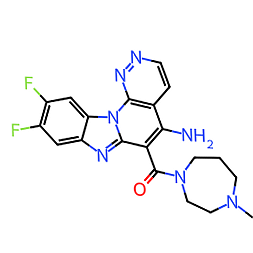 CN1CCCN(C(=O)c2c(N)c3ccnnc3n3c2nc2cc(F)c(F)cc23)CC1